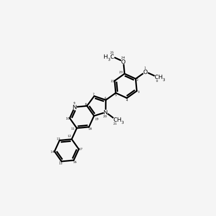 COc1ccc(-c2cc3ncc(-c4cc[c]cc4)cc3n2C)cc1OC